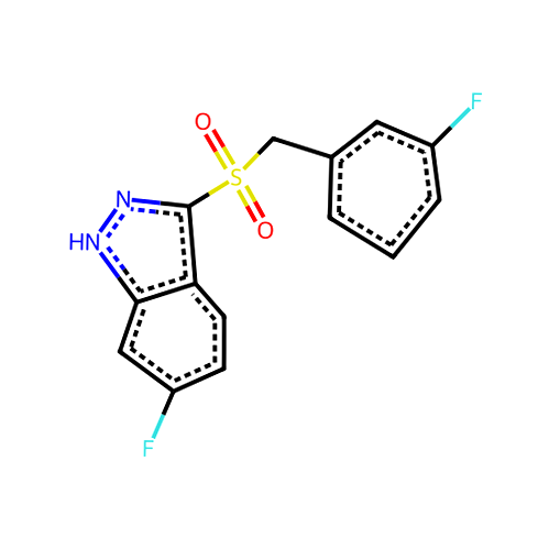 O=S(=O)(Cc1cccc(F)c1)c1n[nH]c2cc(F)ccc12